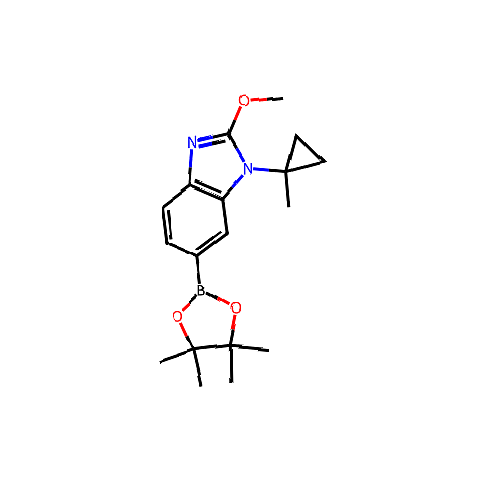 COc1nc2ccc(B3OC(C)(C)C(C)(C)O3)cc2n1C1(C)CC1